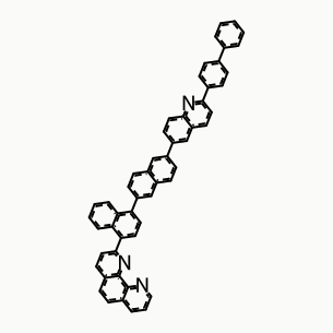 c1ccc(-c2ccc(-c3ccc4cc(-c5ccc6cc(-c7ccc(-c8ccc9ccc%10cccnc%10c9n8)c8ccccc78)ccc6c5)ccc4n3)cc2)cc1